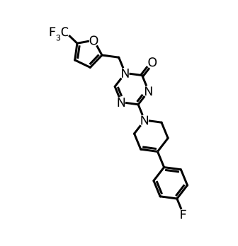 O=c1nc(N2CC=C(c3ccc(F)cc3)CC2)ncn1Cc1ccc(C(F)(F)F)o1